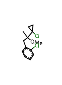 COC(C)(Cc1ccccc1Cl)C1(Cl)CC1